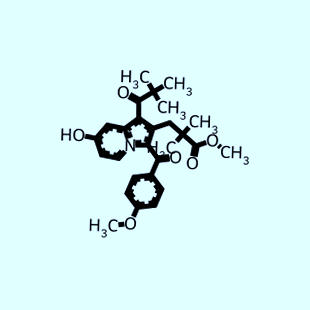 COC(=O)C(C)(C)Cc1c(C(=O)C(C)(C)C)c2cc(O)ccn2c1C(=O)c1ccc(OC)cc1